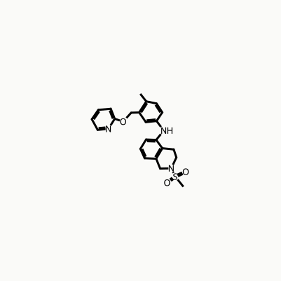 Cc1ccc(Nc2cccc3c2CCN(S(C)(=O)=O)C3)cc1COc1ccccn1